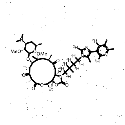 [2H]c1nc(C)c(C)c([2H])c1-c1nc([2H])n(C([2H])([2H])C([2H])([2H])C([2H])(C)C([2H])([2H])N2C(=O)O[C@]3(C)[C@@H](CC)OC(=O)[C@H](C)C(=O)[C@H](C)[C@@H](OC4O[C@H](C)C[C@H](N(C)C)[C@H]4OC)[C@](C)(OC)C[C@@H](C)C(=O)[C@H](C)[C@@H]23)c1C